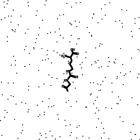 CC(=O)CNC(=N)NCCCC(N)C(=O)O